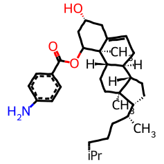 CC(C)CCC[C@@H](C)[C@H]1CC[C@H]2[C@@H]3CC=C4C[C@@H](O)CC(OC(=O)c5ccc(N)cc5)[C@]4(C)[C@H]3CC[C@]12C